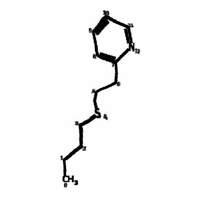 CCCCSCCc1ccccn1